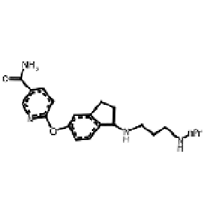 CCCNCCCNC1CCc2cc(Oc3ccc(C(N)=O)cn3)ccc21